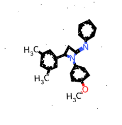 COc1ccc(N2/C(=N/c3ccccc3)CC2c2cc(C)cc(C)c2)cc1